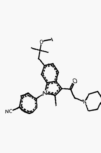 Cc1c(C(=O)CN2CCCCC2)c2ccc(CC(C)(C)OI)cc2n1-c1ccc(C#N)cc1